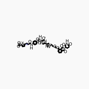 COc1nc(-c2cn(CCOCOc3cccc4c3C(=O)N(C3CCC(=O)NC3=O)C4=O)nn2)cnc1NS(=O)(=O)c1ccc(NC(=O)/C=C/c2ccc([N+](=O)[O-])s2)cc1